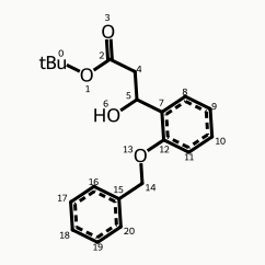 CC(C)(C)OC(=O)CC(O)c1ccccc1OCc1ccccc1